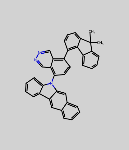 CC1(C)c2ccccc2-c2c(-c3ccc(-n4c5ccccc5c5cc6ccccc6cc54)c4cnncc34)cccc21